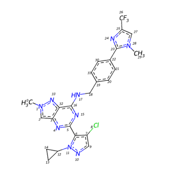 Cn1cc2nc(-c3c(Cl)cnn3C3CC3)nc(NCc3ccc(-c4nc(C(F)(F)F)cn4C)cc3)c2n1